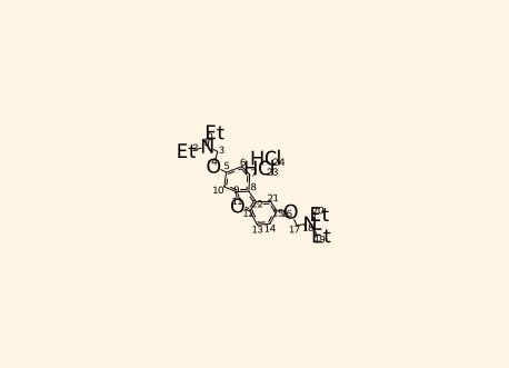 CCN(CC)COc1ccc2c(c1)oc1ccc(OCN(CC)CC)cc12.Cl.Cl